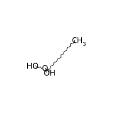 CCCCCCCCCCCCCCCC[C@H](O)OCCCO